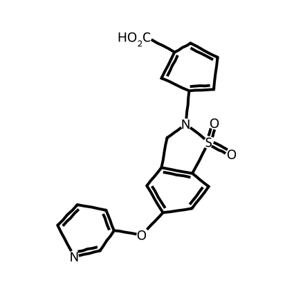 O=C(O)c1cccc(N2Cc3cc(Oc4cccnc4)ccc3S2(=O)=O)c1